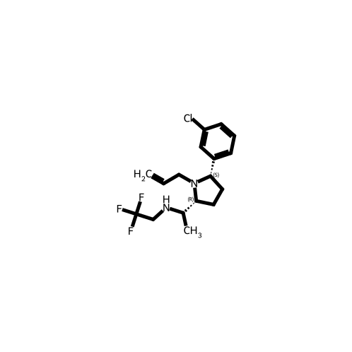 C=CCN1[C@@H](C(C)NCC(F)(F)F)CC[C@H]1c1cccc(Cl)c1